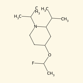 CC(F)OC1CCN(C(C)C)C(C(C)C)C1